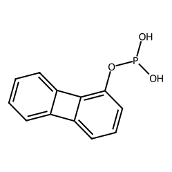 OP(O)Oc1cccc2c1-c1ccccc1-2